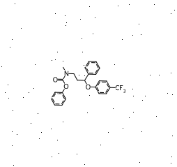 CN(CCC(Oc1ccc(C(F)(F)F)cc1)c1ccccc1)C(=O)Oc1ccccc1